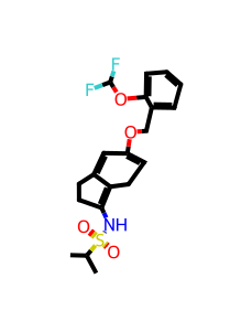 CC(C)S(=O)(=O)NC1=C2CC=C(OCc3ccccc3OC(F)F)C=C2CC1